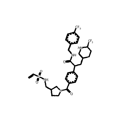 C=CS(=O)(=O)NCC1CCN(C(=O)c2ccc(C(CC3CCC(C(F)(F)F)NC3)C(=O)NCc3ccc(C(F)(F)F)cc3)cc2)C1